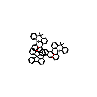 CC1(C)c2ccccc2N(c2ccccc2)c2c(-c3cccc4c(-c5cccc6c5C5(c7ccccc7-c7ccccc75)c5ccccc5-6)c5cccc(-c6cccc7c6N(c6ccccc6)c6ccccc6C7(C)C)c5cc34)cccc21